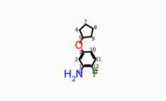 Nc1cc(OC2CCCC2)ccc1F